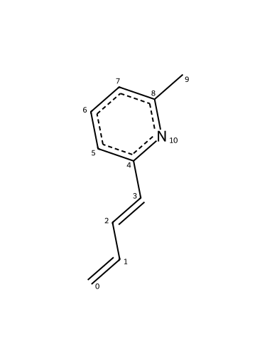 C=C/C=C/c1cccc(C)n1